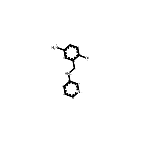 Nc1ccc(O)c(CNc2cccnc2)c1